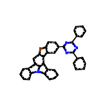 c1ccc(-c2nc(-c3ccccc3)nc(-c3ccc4sc5cc6c7ccccc7n7c8ccccc8c(c5c4c3)c67)n2)cc1